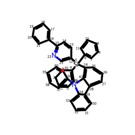 C1=CCCC([Si](c2ccccc2)(c2ccc(-c3ccccc3)nc2)c2cccc3c4ccccc4n(-c4ccccc4)c23)=C1